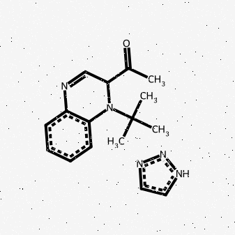 CC(=O)C1C=Nc2ccccc2N1C(C)(C)C.c1c[nH]nn1